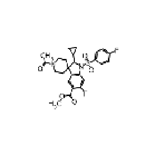 COC(=O)c1cc2c(cc1F)N(S(=O)(=O)c1ccc(F)cc1)C(C1CC1)C21CCN(C(C)=O)CC1